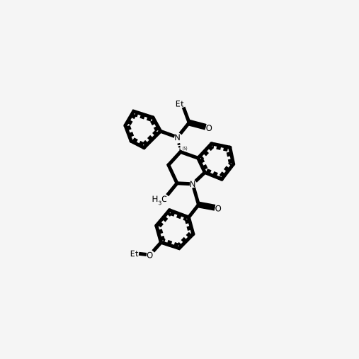 CCOc1ccc(C(=O)N2c3ccccc3[C@@H](N(C(=O)CC)c3ccccc3)CC2C)cc1